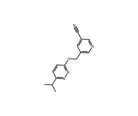 CC(C)c1ccc(OCc2cncc(C#N)c2)nn1